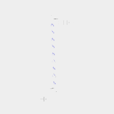 CC1=C(/C=C/C(C)=C/C=C/C(C)=C/C=C/C=C(C)/C=C/C=C(C)/C=C/C2=C(C=O)CCCC2(C)C)C(C)(C)CC(O)C1